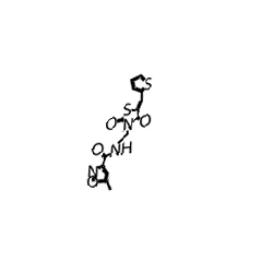 Cc1cc(C(=O)NCCN2C(=O)S/C(=C\c3cccs3)C2=O)no1